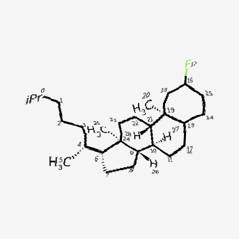 CC(C)CCC[C@@H](C)[C@H]1CC[C@H]2[C@@H]3CCC4CCC(F)C[C@]4(C)[C@H]3CC[C@]12C